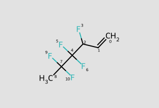 C=CC(F)C(F)(F)C(C)(F)F